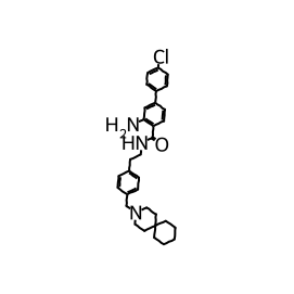 Nc1cc(-c2ccc(Cl)cc2)ccc1C(=O)NCCc1ccc(CN2CCC3(CCCCC3)CC2)cc1